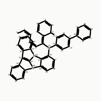 C\C=C/C=C\C(=C1/C=CC=CC1C)N(c1ccc(-c2ccccc2)cc1)c1cccc2c1n1c3ccccc3c3c4ccccc4n2c31